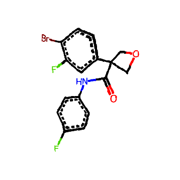 O=C(Nc1ccc(F)cc1)C1(c2ccc(Br)c(F)c2)COC1